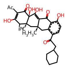 CC(=O)C1=C(O)C(C(C)C)[C@@]2(C)C[C@@]3(C)Cc4c(C(=O)CC5CCCCC5)ccc(O)c4C(=O)C3=C(O)[C@@]2(O)C1=O